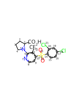 O=C(O)C1CCCN1c1nccc(S(=O)(=O)c2ccc(Cl)cc2Cl)c1C(F)(F)F